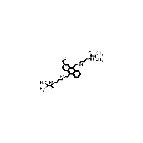 C=C(C)C(=O)NCCCNCc1c2ccccc2c(CNCCCNC(=O)C(C)C)c2cc(C=O)ccc12